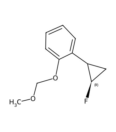 COCOc1ccccc1C1C[C@H]1F